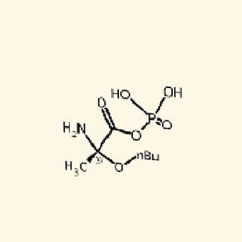 CCCCO[C@](C)(N)C(=O)OP(=O)(O)O